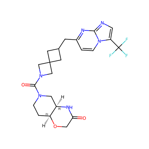 O=C1CO[C@H]2CCN(C(=O)N3CC4(CC(Cc5ccn6c(C(F)(F)F)cnc6n5)C4)C3)C[C@H]2N1